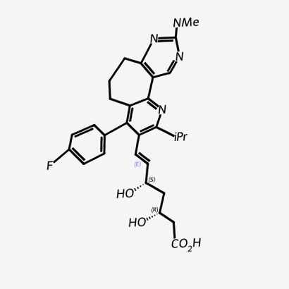 CNc1ncc2c(n1)CCCc1c-2nc(C(C)C)c(/C=C/[C@@H](O)C[C@@H](O)CC(=O)O)c1-c1ccc(F)cc1